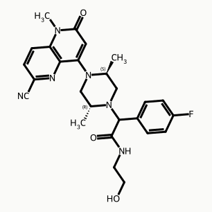 C[C@@H]1CN(c2cc(=O)n(C)c3ccc(C#N)nc23)[C@@H](C)CN1C(C(=O)NCCO)c1ccc(F)cc1